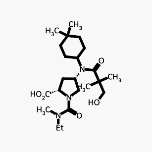 CCN(C)C(=O)N1C[C@@H](N(C(=O)C(C)(C)CO)C2CCC(C)(C)CC2)C[C@H]1C(=O)O